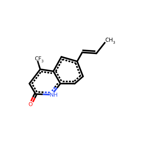 C/C=C/c1ccc2[nH]c(=O)cc(C(F)(F)F)c2c1